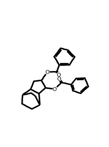 O=C(OC1CC2C3CCC(CC3)C2C1OC(=O)c1ccccc1)c1ccccc1